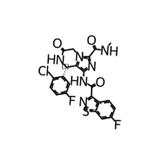 CNC(=O)c1nc(NC(=O)c2nsc3cc(F)ccc23)c2n1CC(=O)N[C@H]2c1cc(F)ccc1Cl